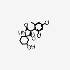 Cc1cc(Cl)cc(Cl)c1C1=C(O)C2(CCCC(O)C2)NC1=O